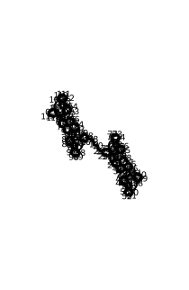 c1ccc(N(c2ccc3ccc4c(N(c5ccc(CCCCc6ccc(N(c7ccc8ccc9c(N(c%10ccccc%10)c%10cccc%11c%10oc%10ccccc%10%11)ccc%10ccc7c8c%109)c7cccc8c7oc7ccccc78)cc6)cc5)c5cccc6c5oc5ccccc56)ccc5ccc2c3c54)c2cccc3c2oc2ccccc23)cc1